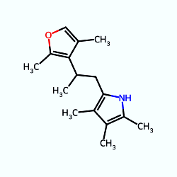 Cc1coc(C)c1C(C)Cc1[nH]c(C)c(C)c1C